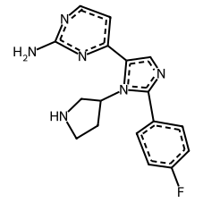 Nc1nccc(-c2cnc(-c3ccc(F)cc3)n2C2CCNC2)n1